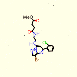 COC(=O)CCC(=O)NCCNc1cc(-c2ccccc2Cl)nc2c(Br)cnn12